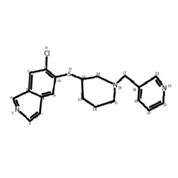 Clc1cc2cnccc2cc1SC1CCCN(Cc2cccnc2)C1